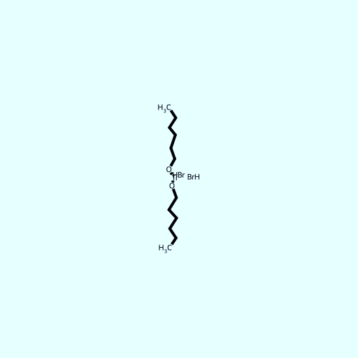 Br.Br.CCCCCC[O][Ti][O]CCCCCC